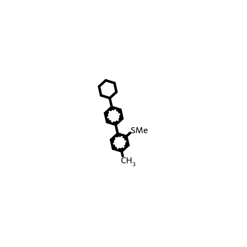 CSc1cc(C)ccc1-c1ccc(C2CCCCC2)cc1